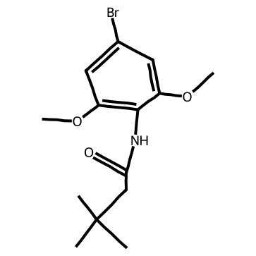 COc1cc(Br)cc(OC)c1NC(=O)CC(C)(C)C